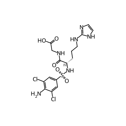 Nc1c(Cl)cc(S(=O)(=O)N[C@@H](CCCNc2ncc[nH]2)C(=O)NCC(=O)O)cc1Cl